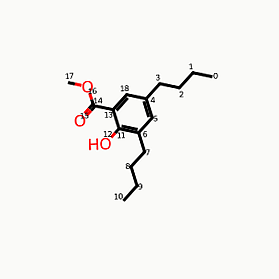 CCCCc1cc(CCCC)c(O)c(C(=O)OC)c1